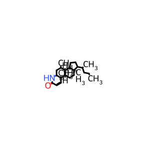 CCCC(C)C1CC[C@H]2[C@@H]3C(C)CC4NC(=O)C=C[C@]4(C)[C@@H]3CC[C@]12C